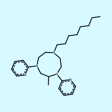 CCCCCCCCN1CCN(c2ccccn2)CC(C)N(c2ccccn2)CC1